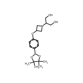 CC1(C)OB(c2ccc(OC3CN(C(CO)CO)C3)cc2)OC1(C)C